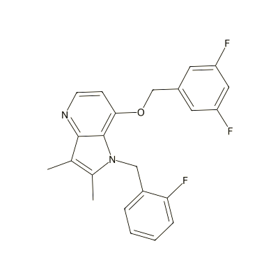 Cc1c(C)n(Cc2ccccc2F)c2c(OCc3cc(F)cc(F)c3)ccnc12